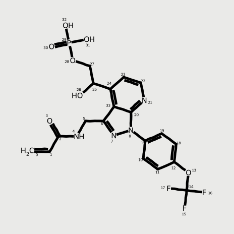 C=CC(=O)NCc1nn(-c2ccc(OC(F)(F)F)cc2)c2nccc(C(O)COP(=O)(O)O)c12